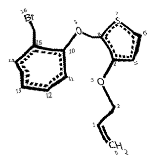 C=CCOc1ccsc1Oc1ccccc1Br